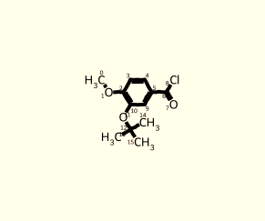 COc1ccc(C(=O)Cl)cc1OC(C)(C)C